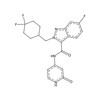 O=C(Nc1cc[nH]c(=O)c1)c1c2ccc(F)cc2nn1CC1CCC(F)(F)CC1